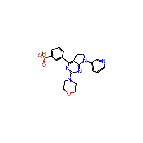 O=[SH](=O)c1cccc(-c2nc(N3CCOCC3)nc3c2CCN3c2cccnc2)c1